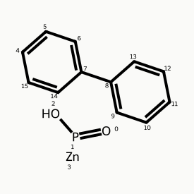 O=PO.[Zn].c1ccc(-c2ccccc2)cc1